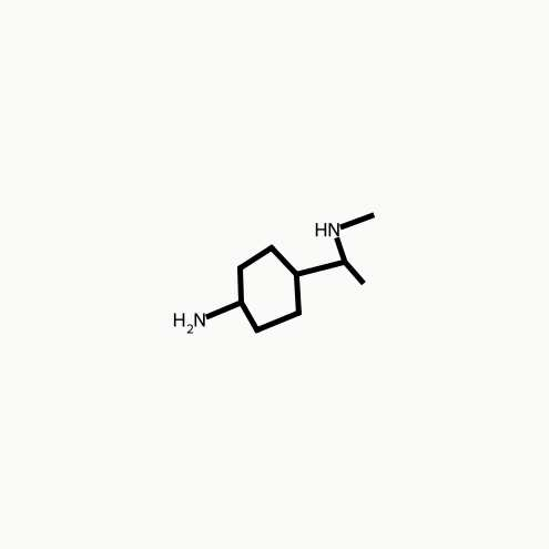 CNC(C)C1CCC(N)CC1